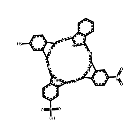 O=[SH](=O)c1ccc2c(c1)-c1nc-2nc2[nH]c(nc3nc(nc4[nH]c(n1)c1ccccc41)-c1ccc(S)cc1-3)c1ccc(S(=O)(=O)O)cc21